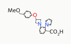 COCc1ccc(OC2CN(c3cccc(C(=O)O)c3-n3cccc3)C2)cc1